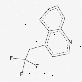 FC(F)(F)Cc1ccnc2ccccc12